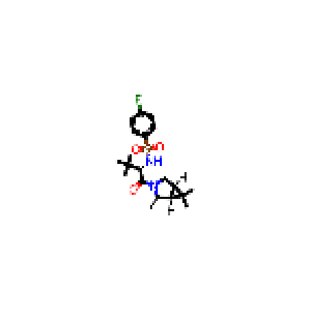 C[C@@H]1[C@@H]2[C@H](CN1C(=O)[C@@H](NS(=O)(=O)c1ccc(F)cc1)C(C)(C)C)C2(C)C